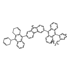 Cc1cscc1-c1c2ccccc2c(-c2ccc3sc4cc(-c5c6c(c(C7C=CC=CC7)c7ccccc57)CCC=C6)ccc4c3c2)c2ccccc12